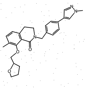 Cc1ccc2c(c1OCC1CCCO1)C(=O)N(Cc1ccc(-c3cnn(C)c3)cc1)CC2